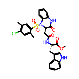 COC(=O)[C@H](Cc1c[nH]c2ccccc12)NC(=O)C[C@@H]1C(=O)Nc2ccccc2N1S(=O)(=O)c1cc(C)c(Cl)cc1C